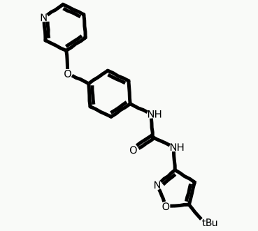 CC(C)(C)c1cc(NC(=O)Nc2ccc(Oc3cccnc3)cc2)no1